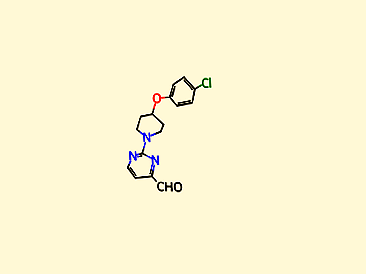 O=Cc1ccnc(N2CCC(Oc3ccc(Cl)cc3)CC2)n1